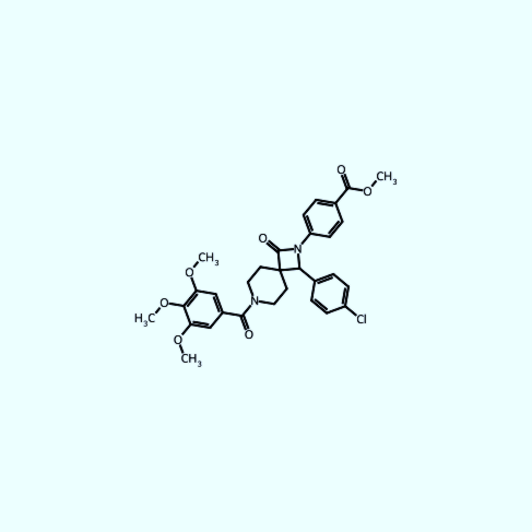 COC(=O)c1ccc(N2C(=O)C3(CCN(C(=O)c4cc(OC)c(OC)c(OC)c4)CC3)C2c2ccc(Cl)cc2)cc1